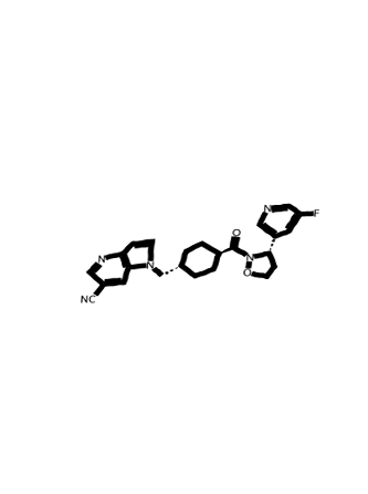 N#Cc1cnc2ccn(C[C@H]3CC[C@H](C(=O)N4OCC[C@H]4c4cncc(F)c4)CC3)c2c1